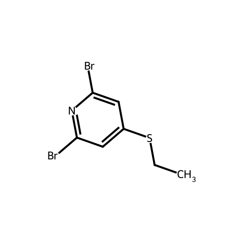 CCSc1cc(Br)nc(Br)c1